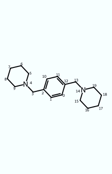 c1cc(CN2CCCCC2)ccc1CN1CCCCC1